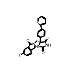 O=C1NC(=O)[C@](CN2Cc3ccc(F)cc3C2=O)(c2ccc(-c3ccccn3)cc2)N1